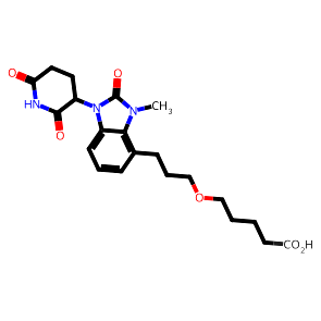 Cn1c(=O)n(C2CCC(=O)NC2=O)c2cccc(CCCOCCCCC(=O)O)c21